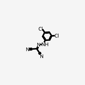 N#CC(C#N)=NNc1cc(Cl)cc(Cl)c1